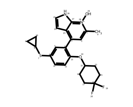 Cc1cc(-c2cc(SC3CC3)ccc2OC2CCC(F)(F)CC2)c2cc[nH]c2[n+]1O